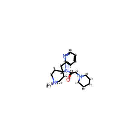 CC(C)N1CCC(Cc2ccccn2)(NC(=O)CN2CCCCC2)CC1